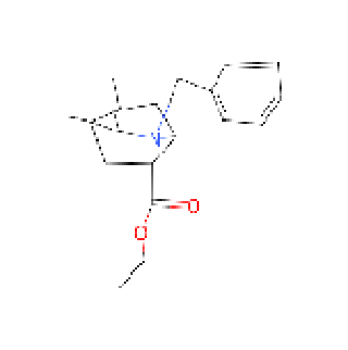 CCOC(=O)C1CC2(C)C(C)CC1N(Cc1ccccc1)C2C